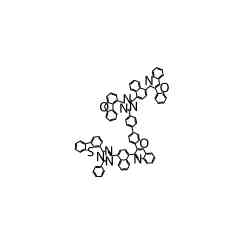 c1ccc(-c2nc(-c3ccc(-c4nc5ccccc5c5oc6cc(-c7ccc(-c8nc(-c9ccc(-c%10nc%11ccccc%11c%11oc%12ccccc%12c%10%11)c%10ccccc9%10)nc(-c9cccc%10oc%11ccccc%11c9%10)n8)cc7)ccc6c45)c4ccccc34)nc(-c3cccc4c3sc3ccccc34)n2)cc1